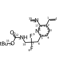 C=Cc1ccc(CC(F)(F)CNC(=O)OC(C)(C)C)nc1N=C